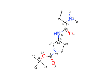 CN1CCC[C@@H]1C(=O)N[C@H]1CCN(C(=O)OC(C)(C)C)C1